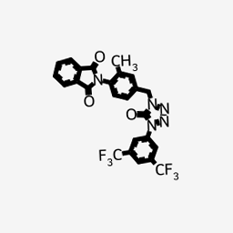 Cc1cc(Cn2nnn(-c3cc(C(F)(F)F)cc(C(F)(F)F)c3)c2=O)ccc1N1C(=O)c2ccccc2C1=O